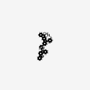 CC1(C)c2ccccc2-c2cc3c4cc(-c5ccnc(-n6c7ccccc7c7c8oc9ccccc9c8ccc76)n5)ccc4n(-c4ccccc4)c3cc21